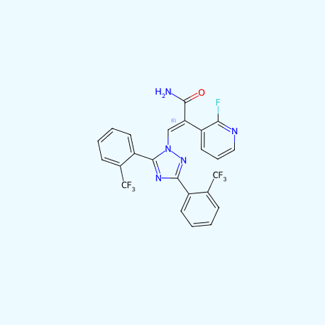 NC(=O)/C(=C/n1nc(-c2ccccc2C(F)(F)F)nc1-c1ccccc1C(F)(F)F)c1cccnc1F